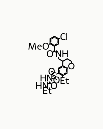 CCNC(=O)NS(=O)(=O)c1cc2c(cc1CC)OCCC2CNC(=O)c1cc(Cl)ccc1OC